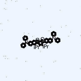 CC(C)c1c(C(C)C)c2c3cc4ccc(N(c5ccccc5)c5ccccc5)cc4cc3oc2c2oc3cc4cc(N(c5ccccc5)c5ccccc5)ccc4cc3c12